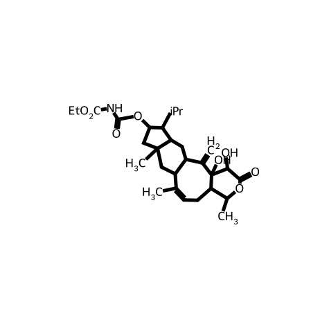 C=C1C2CC3C(C(C)C)C(OC(=O)NC(=O)OCC)CC3(C)CC2C(C)=CCC2C(C)OC(=O)C(O)C12O